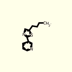 [CH2]CCCc1cnc(-c2cccnc2)s1